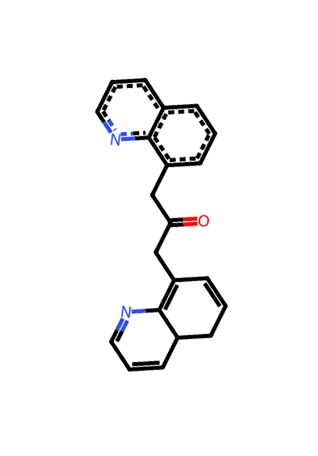 O=C(CC1=C2N=CC=CC2CC=C1)Cc1cccc2cccnc12